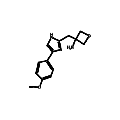 COc1ccc(-c2c[nH]c(CC3(N)COC3)n2)cc1